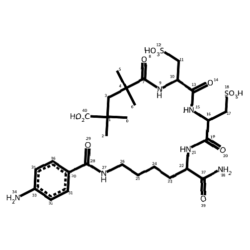 CC(C)(CC(C)(C)C(=O)NC(CS(=O)(=O)O)C(=O)NC(CS(=O)(=O)O)C(=O)NC(CCCCNC(=O)c1ccc(N)cc1)C(N)=O)C(=O)O